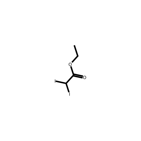 CCOC(=O)C(I)I